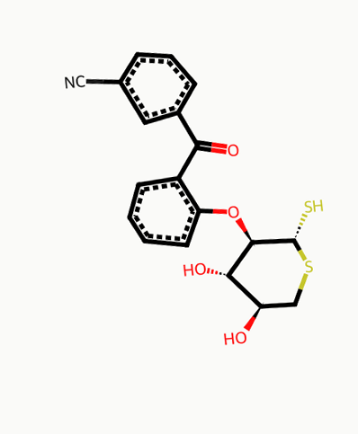 N#Cc1cccc(C(=O)c2ccccc2O[C@@H]2[C@@H](O)[C@H](O)CS[C@H]2S)c1